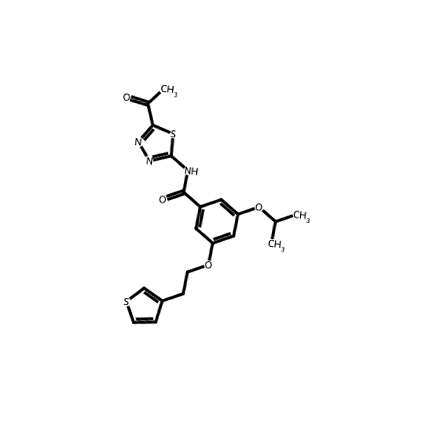 CC(=O)c1nnc(NC(=O)c2cc(OCCc3ccsc3)cc(OC(C)C)c2)s1